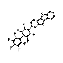 Fc1c(F)c(F)c(-c2c(F)c(F)c(-c3ccc4c(c3)sc3c5ccccc5sc43)c(F)c2F)c(F)c1F